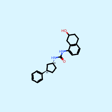 O=C(Nc1cccc2c1CC(O)CC2)N[C@@H]1CC[C@@H](c2ccccc2)C1